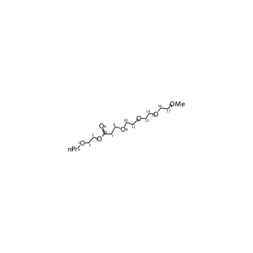 CCCOCCOC(=O)CCOCCOCCOCCOC